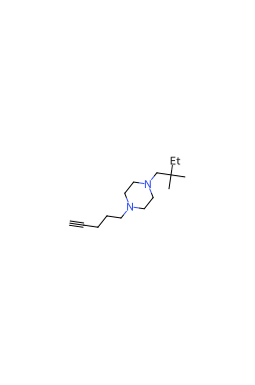 C#CCCCN1CCN(CC(C)(C)C[CH2])CC1